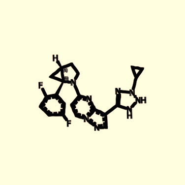 Fc1ccc(F)c([C@@]23C[C@@H]2CCN3c2ccn3ncc(C4=NN(C5CC5)NN4)c3n2)c1